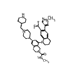 CNC(=O)N1CCc2cc(C3CCN(CC4CCNCC4)CC3)cc(N3CCCc4cc(-c5cnn(C)c5)c(C(F)F)cc43)c2C1